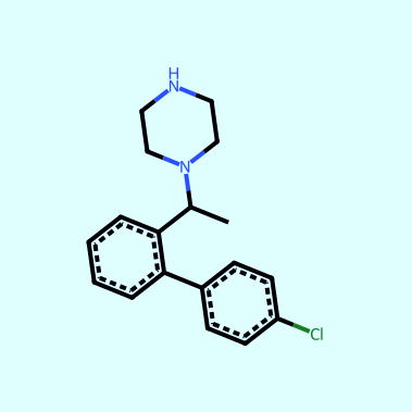 CC(c1ccccc1-c1ccc(Cl)cc1)N1CCNCC1